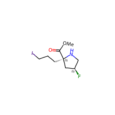 COC(=O)[C@]1(CCCI)C[C@H](F)CN1